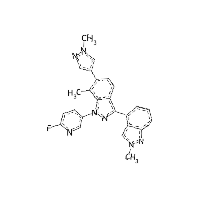 Cc1c(-c2cnn(C)c2)ccc2c(-c3cccc4nn(C)cc34)nn(-c3ccc(F)nc3)c12